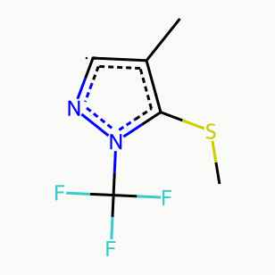 CSc1c(C)[c]nn1C(F)(F)F